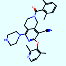 Cc1ccnc(C)c1Oc1nc(N2CCNCC2)c2c(c1C#N)CN(C(=O)c1c(C)cccc1C)CC2